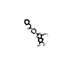 COc1cc2nc(N3CCN(C(=O)Cc4ccccc4)CC3)nc(N)c2cc1OC